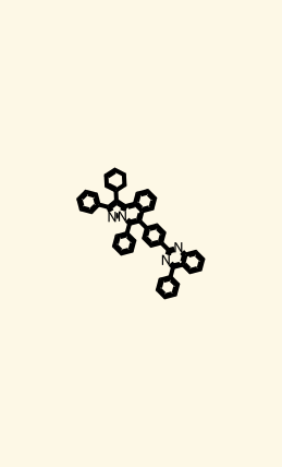 C1=CCCC(c2c(-c3ccccc3)nn3c(-c4ccccc4)c(-c4ccc(-c5nc(-c6ccccc6)c6ccccc6n5)cc4)c4ccccc4c23)=C1